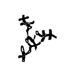 CC(C)(C)[Si](C)(C)OC[C@H]1OC(OS(C)(=O)=O)C(F)(F)[C@H]1O[Si](C)(C)C(C)(C)C